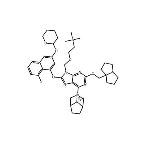 C[Si](C)(C)CCOCn1c(Oc2cc(OC3CCCCO3)cc3cccc(F)c23)nc2c(N3CC4CCC(C3)N4C(=O)O)nc(OCC34CCCN3CCC4)nc21